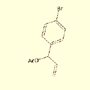 C=CC(OC(C)=O)c1ccc(Br)cc1